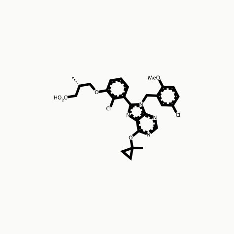 COc1ccc(Cl)cc1Cn1c(-c2cccc(OC[C@@H](C)CC(=O)O)c2Cl)nc2c(OC3(C)CC3)ncnc21